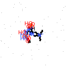 CCCC[N+](CCCC)(CCCC)CCCC.Cn1ncc2c1[C@@H](/C(CNS(=O)(=O)NC(=O)OC(C)(C)C)=N/O)N1C[C@@H]2N(OS(=O)(=O)O)C1=O